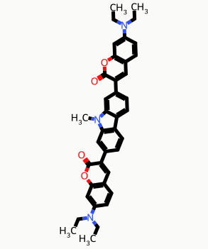 CCN(CC)c1ccc2cc(-c3ccc4c5ccc(-c6cc7ccc(N(CC)CC)cc7oc6=O)cc5n(C)c4c3)c(=O)oc2c1